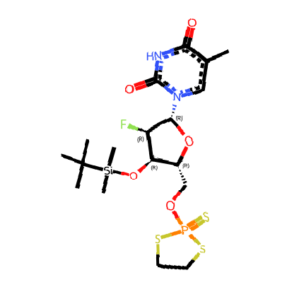 Cc1cn([C@@H]2O[C@H](COP3(=S)SCCS3)[C@@H](O[Si](C)(C)C(C)(C)C)[C@H]2F)c(=O)[nH]c1=O